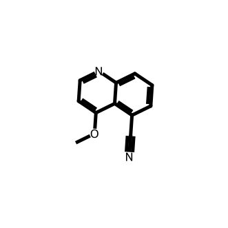 COc1ccnc2cccc(C#N)c12